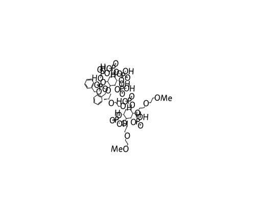 COCCOCCO[C@@H]1[C@@H](O[PH](=O)O)[C@H](OCCOCCOC)[C@@H](O[PH](=O)O)[C@@H](OCCO[C@@H](C)CO[C@@H]2[C@H](OP(=O)(O)O)[C@@H](OP(=O)(O)O)[C@H](O[PH](=O)O)[C@@H](O[PH](=O)O)[C@@H]2OP(=O)(OCc2ccccc2)OCc2ccccc2)[C@H]1O[PH](=O)O